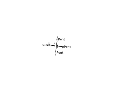 CCCC[CH2][Hf]([CH2]CCCC)([CH2]CCCC)[CH2]CCCC